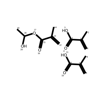 C=C(C)C(=O)O.C=C(C)C(=O)O.C=C(C)C(=O)OC(C)O